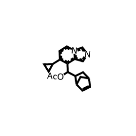 CC(=O)OC(c1c(C2CC2)ccn2cncc12)C1CC2C=CC1C2